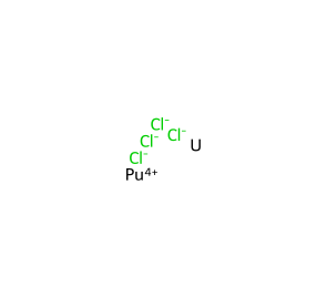 [Cl-].[Cl-].[Cl-].[Cl-].[Pu+4].[U]